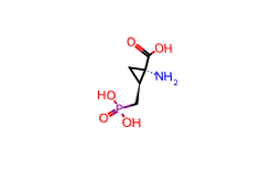 N[C@@]1(C(=O)O)C[C@@H]1CP(=O)(O)O